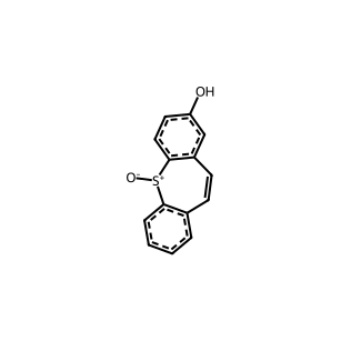 [O-][S+]1c2ccccc2C=Cc2cc(O)ccc21